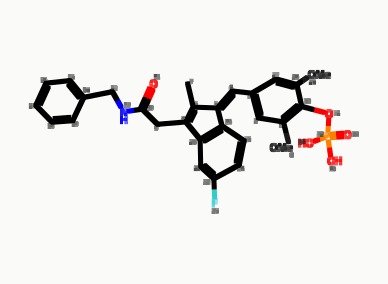 COc1cc(/C=C2/C(C)=C(CC(=O)NCc3ccccc3)c3cc(F)ccc32)cc(OC)c1OP(=O)(O)O